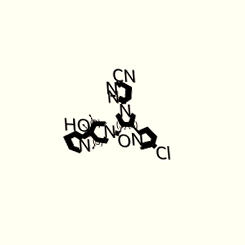 C[C@@H]1CN(C(=O)[C@@H]2CN(c3ccc(C#N)nn3)C[C@H]2c2ccc(Cl)cn2)C[C@H](C)[C@@]1(O)c1ccccn1